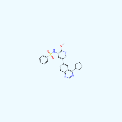 COc1ncc(-c2ccc3ncnc(C4CCCC4)c3c2)cc1NS(=O)(=O)c1ccccc1